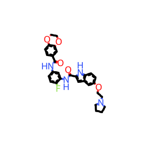 O=C(Nc1ccc(F)c(NC(=O)c2cc3cc(OCCN4CCCC4)ccc3[nH]2)c1)c1ccc2c(c1)OCCO2